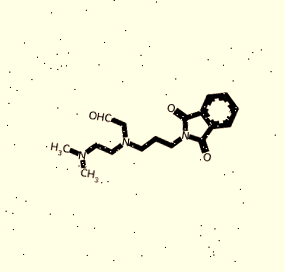 CN(C)CCN(CC=O)CCCN1C(=O)c2ccccc2C1=O